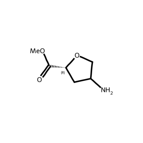 COC(=O)[C@H]1CC(N)CO1